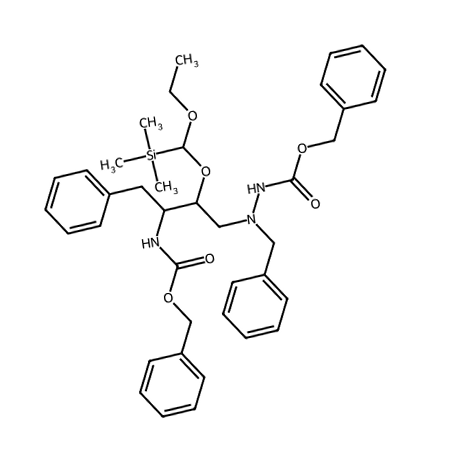 CCOC(OC(CN(Cc1ccccc1)NC(=O)OCc1ccccc1)C(Cc1ccccc1)NC(=O)OCc1ccccc1)[Si](C)(C)C